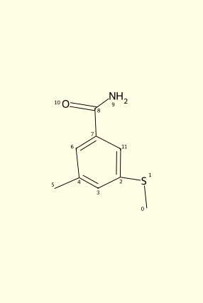 CSc1cc(C)cc(C(N)=O)c1